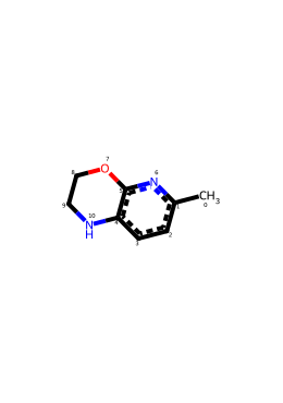 Cc1ccc2c(n1)OCCN2